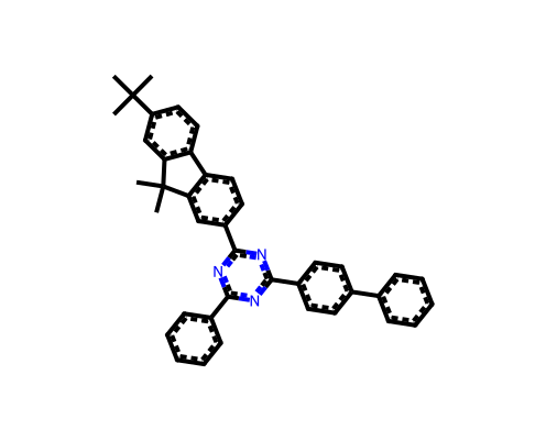 CC(C)(C)c1ccc2c(c1)C(C)(C)c1cc(-c3nc(-c4ccccc4)nc(-c4ccc(-c5ccccc5)cc4)n3)ccc1-2